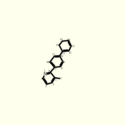 Cc1cccnc1-c1ccc(C2=CC=CCC2)cc1